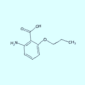 CCCOc1cccc(N)c1C(=O)O